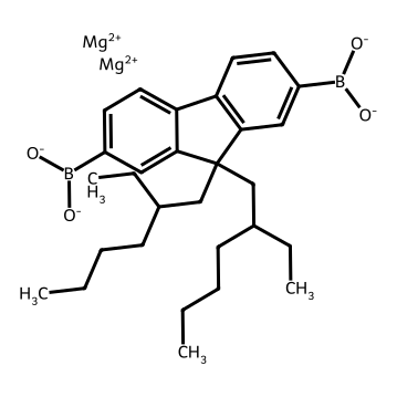 CCCCC(CC)CC1(CC(CC)CCCC)c2cc(B([O-])[O-])ccc2-c2ccc(B([O-])[O-])cc21.[Mg+2].[Mg+2]